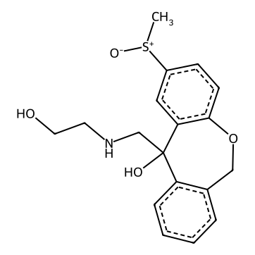 C[S+]([O-])c1ccc2c(c1)C(O)(CNCCO)c1ccccc1CO2